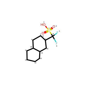 O=S(=O)(O)C(F)(F)C1CCC2CCCCC2C1